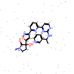 CC(Nc1nccc(-c2cccc(-c3cc(C4(O)CCN(C)C4=O)on3)n2)n1)c1cccnc1